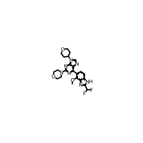 COc1c(-c2nc(N3CCOCC3)nc3c2ncn3C2CCOCC2)ccc2[nH]c(C(F)F)nc12